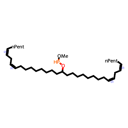 CCCCC/C=C\C/C=C\CCCCCCCCC(CCCCCCCC/C=C\C/C=C\CCCCC)OPOC